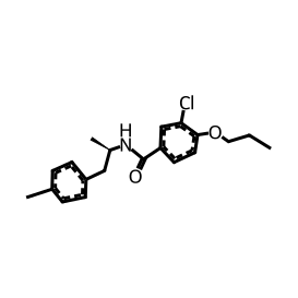 CCCOc1ccc(C(=O)N[C@H](C)Cc2ccc(C)cc2)cc1Cl